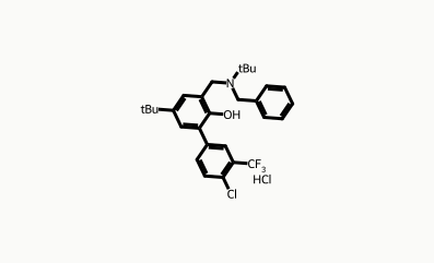 CC(C)(C)c1cc(CN(Cc2ccccc2)C(C)(C)C)c(O)c(-c2ccc(Cl)c(C(F)(F)F)c2)c1.Cl